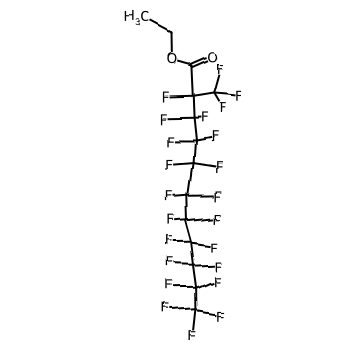 CCOC(=O)C(F)(C(F)(F)F)C(F)(F)C(F)(F)C(F)(F)C(F)(F)C(F)(F)C(F)(F)C(F)(F)C(F)(F)C(F)(F)F